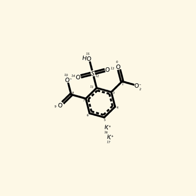 O=C([O-])c1cccc(C(=O)[O-])c1S(=O)(=O)O.[K+].[K+]